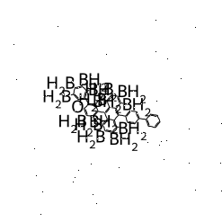 Bc1c(B)c(B)c2c(oc3c(B)c(B)c(-c4c5c(B)c(B)c(B)c(B)c5c(-c5ccc(-c6ccccc6)cc5)c5c(B)c(B)c(B)c(B)c45)c(B)c32)c1B